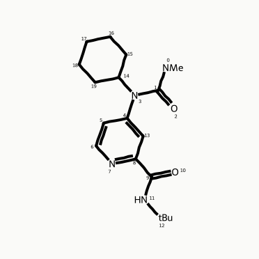 CNC(=O)N(c1ccnc(C(=O)NC(C)(C)C)c1)C1CCCCC1